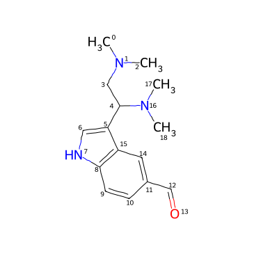 CN(C)CC(c1c[nH]c2ccc(C=O)cc12)N(C)C